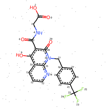 O=C(O)CNC(=O)c1c(O)c2cccnc2n(Cc2ccc(C(F)(F)F)cc2)c1=O